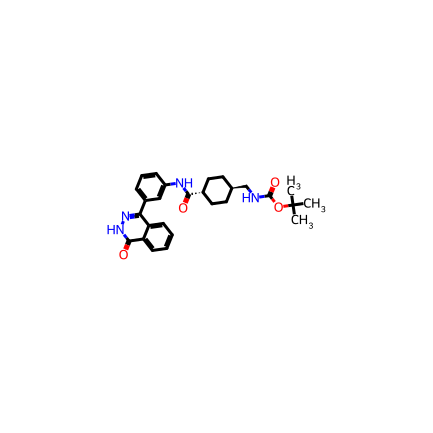 CC(C)(C)OC(=O)NC[C@H]1CC[C@H](C(=O)Nc2cccc(-c3n[nH]c(=O)c4ccccc34)c2)CC1